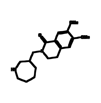 COc1cc2c(cc1OC)C(=O)N(CC1CCCCNC1)CC2